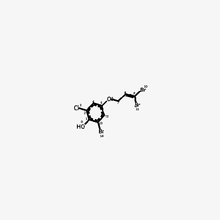 Oc1c(Cl)cc(OCC=C(Br)Br)cc1Br